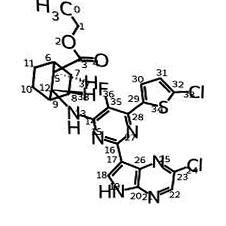 CCOC(=O)[C@@H]1C2CCC(CC2)[C@H]1Nc1nc(-c2c[nH]c3ncc(Cl)nc23)nc(-c2ccc(Cl)s2)c1F